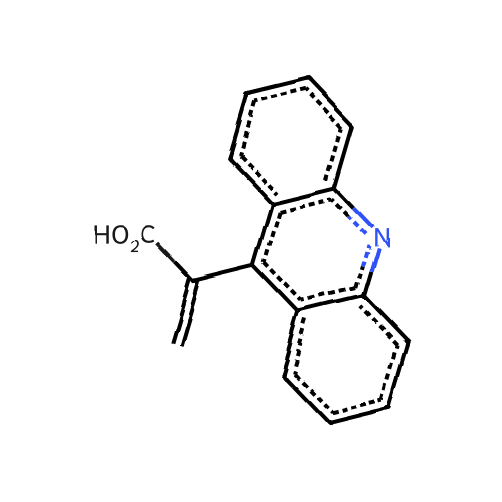 C=C(C(=O)O)c1c2ccccc2nc2ccccc12